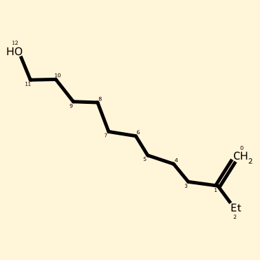 C=C(CC)CCCCCCCCCO